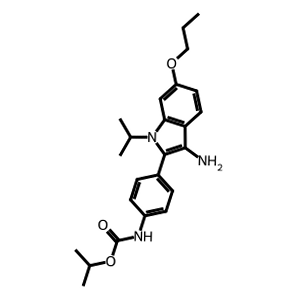 CCCOc1ccc2c(N)c(-c3ccc(NC(=O)OC(C)C)cc3)n(C(C)C)c2c1